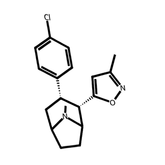 Cc1cc([C@@H]2C3CCC(C[C@@H]2c2ccc(Cl)cc2)N3C)on1